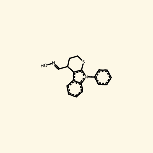 ON=CC1CCSc2c1c1ccccc1n2-c1ccccc1